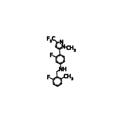 Cc1cccc(F)c1CNc1ccc(-c2cc(C(F)(F)F)nn2C)c(F)c1